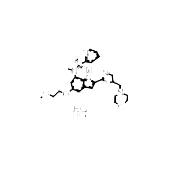 COCCOc1cc(N(C)S(=O)(=O)c2ccccn2)c2[nH]c(C3=NCC(CN4CCOCC4)S3)cc2c1.Cl.Cl